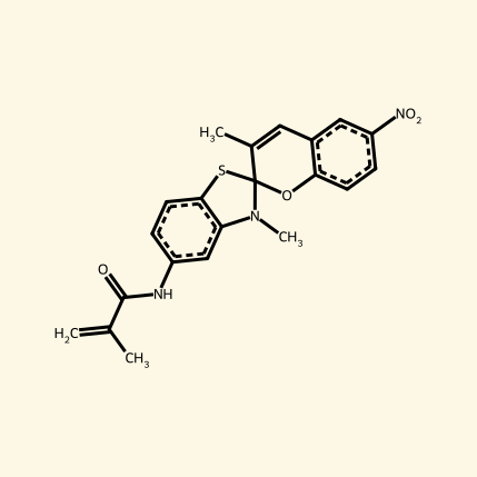 C=C(C)C(=O)Nc1ccc2c(c1)N(C)C1(Oc3ccc([N+](=O)[O-])cc3C=C1C)S2